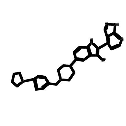 CC(C)c1c(-c2ccnc3[nH]ncc23)[nH]c2ccc(C3CCN(Cc4ccc(N5CCCC5)cc4)CC3)cc12